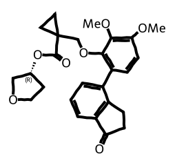 COc1ccc(-c2cccc3c2CCC3=O)c(OCC2(C(=O)O[C@@H]3CCOC3)CC2)c1OC